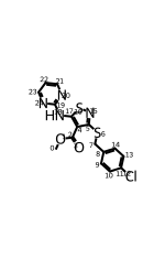 COC(=O)c1c(SCc2ccc(Cl)cc2)nsc1Nc1ncccn1